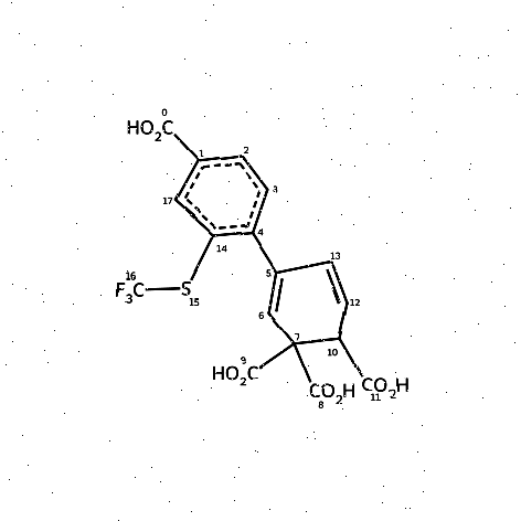 O=C(O)c1ccc(C2=CC(C(=O)O)(C(=O)O)C(C(=O)O)C=C2)c(SC(F)(F)F)c1